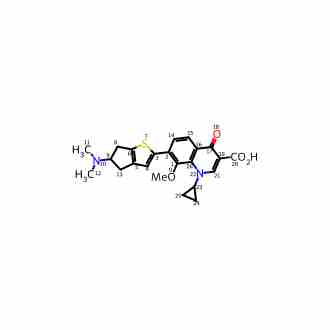 COc1c(-c2cc3c(s2)CC(N(C)C)C3)ccc2c(=O)c(C(=O)O)cn(C3CC3)c12